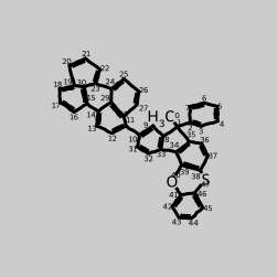 CC1(c2ccccc2)c2cc(-c3ccc4c5cccc6cccc(c7cccc3c74)c65)ccc2-c2c1ccc1c2Oc2ccccc2S1